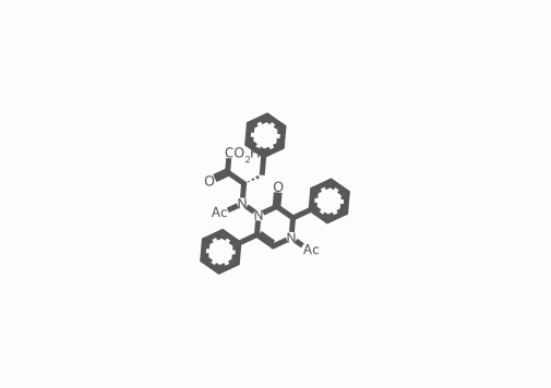 CC(=O)N1C=C(c2ccccc2)N(N(C(C)=O)[C@@H](Cc2ccccc2)C(=O)C(=O)O)C(=O)C1c1ccccc1